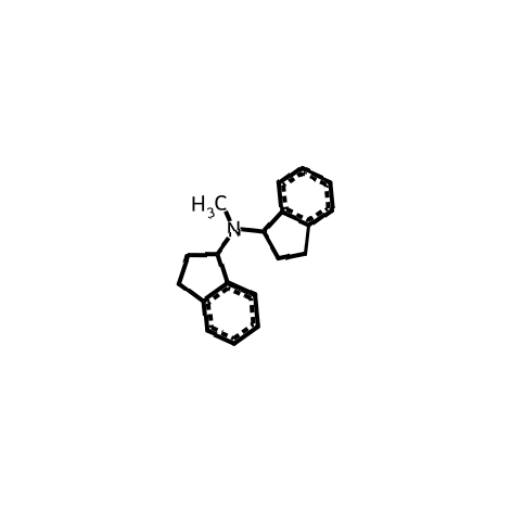 CN(C1CCc2ccccc21)C1CCc2ccccc21